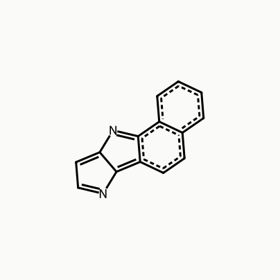 C1=NC2=c3ccc4ccccc4c3=NC2=C1